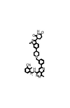 Cc1c(C#N)cccc1[C@@H](C)Nc1nnc(C)c2cnc(-c3cccc(CN4CCC(c5ccc6c(C7CCC(=O)NC7=O)nn(C)c6c5)CC4)c3)cc12